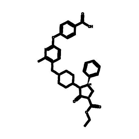 CCOC(=O)N1C[C@@H](c2ccccc2)N(C2CCN(Cc3ccc(Oc4ccc(C(=O)O)cc4)nc3C)CC2)C1=O